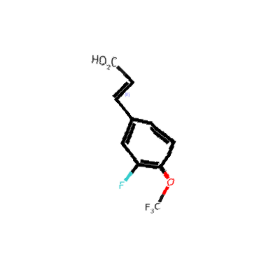 O=C(O)/C=C/c1ccc(OC(F)(F)F)c(F)c1